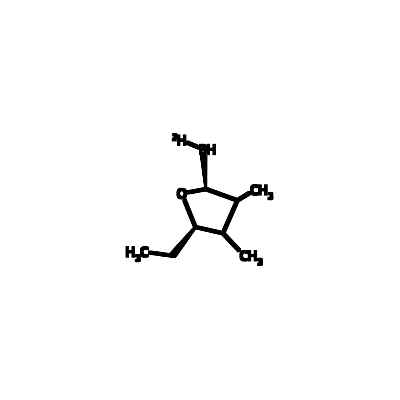 [2H]B[C@@H]1O[C@H](CC)C(C)C1C